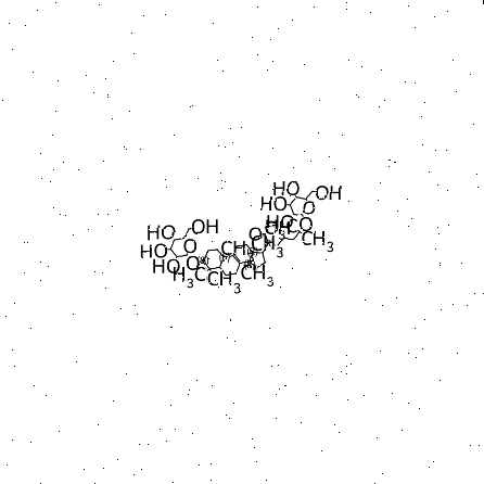 CC(C)(CCC[C@@H](C(=O)O)C1CC[C@@]2(C)C3=C(CC[C@]12C)[C@@]1(C)CC[C@H](OC2OC(CO)C(O)C(O)C2O)C(C)(C)C1CC3)OC1OC(CO)C(O)C(O)C1O